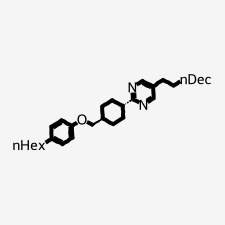 CCCCCCCCCCCCc1cnc([C@H]2CC[C@H](COc3ccc(CCCCCC)cc3)CC2)nc1